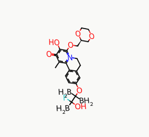 BC(O)(F)C(B)(B)Oc1ccc2c(c1)CCn1c(OC[C@@H]3COCCO3)c(O)c(=O)c(C)c1-2